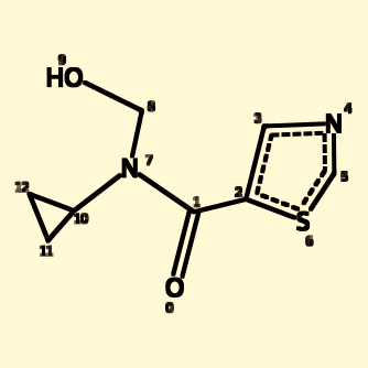 O=C(c1cncs1)N(CO)C1CC1